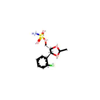 CC1O[C@@H](COS(N)(=O)=O)[C@H](c2ccccc2Cl)O1